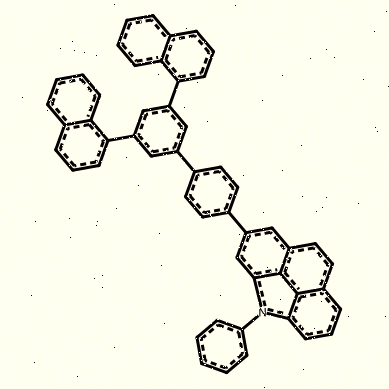 c1ccc(-n2c3cccc4ccc5cc(-c6ccc(-c7cc(-c8cccc9ccccc89)cc(-c8cccc9ccccc89)c7)cc6)cc2c5c43)cc1